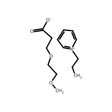 CCC[n+]1ccccc1.COCCOCCC(=O)[O-]